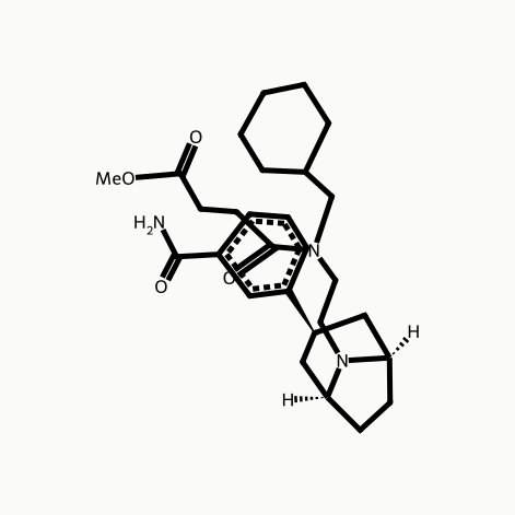 COC(=O)CCC(=O)N(CCN1[C@@H]2CC[C@H]1C[C@@H](c1cccc(C(N)=O)c1)C2)CC1CCCCC1